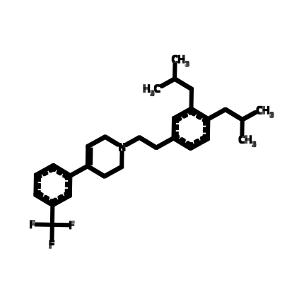 CC(C)Cc1ccc(CCN2CC=C(c3cccc(C(F)(F)F)c3)CC2)cc1CC(C)C